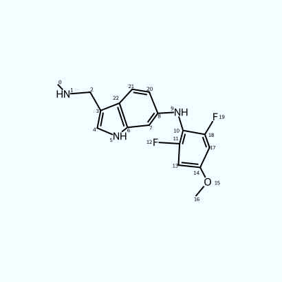 CNCc1c[nH]c2cc(Nc3c(F)cc(OC)cc3F)ccc12